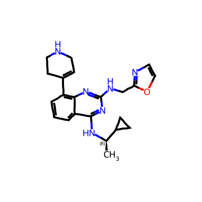 C[C@@H](Nc1nc(NCc2ncco2)nc2c(C3=CCNCC3)cccc12)C1CC1